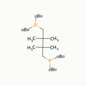 CCCCP(CCCC)CC(C)(C)C(C)(C)CP(CCCC)CCCC